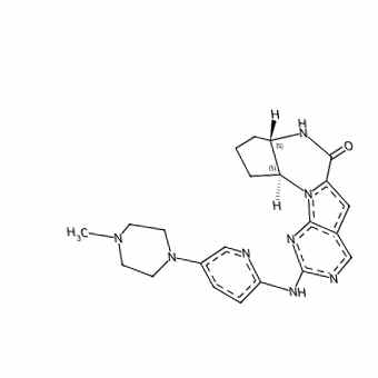 CN1CCN(c2ccc(Nc3ncc4cc5n(c4n3)[C@H]3CCC[C@@H]3NC5=O)nc2)CC1